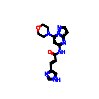 O=C(C=Cc1c[nH]cn1)Nc1cc(N2CCOCC2)n2nccc2n1